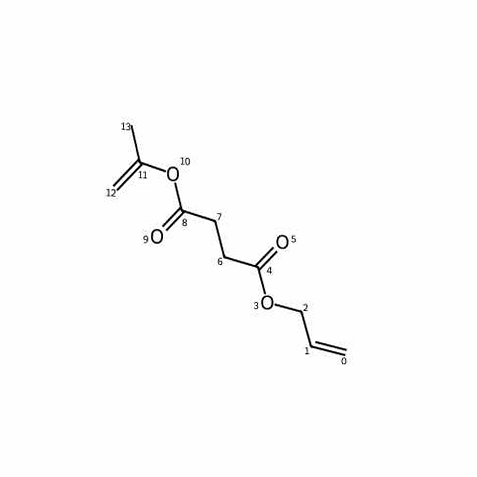 C=CCOC(=O)CCC(=O)OC(=C)C